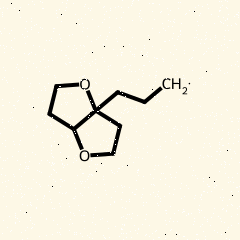 [CH2]CCC12CCOC1CCO2